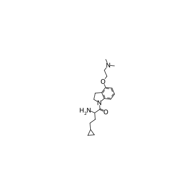 CN(C)CCOc1cccc2c1CCN2C(=O)C(N)CCC1CC1